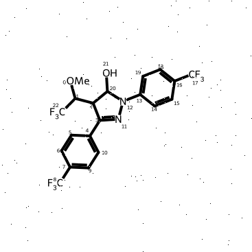 COC(C1C(c2ccc(C(F)(F)F)cc2)=NN(c2ccc(C(F)(F)F)cc2)C1O)C(F)(F)F